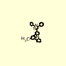 Cc1cc2c3ccccc3n3c4ccc(-c5cc(-c6ccccc6)nc(-c6ccccc6)n5)cc4c(c1)c23